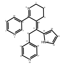 c1cncc(C2=NCCCC2=C(Cc2ccncc2)c2ccc[nH]2)c1